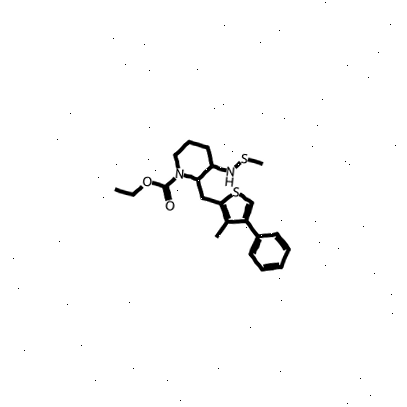 CCOC(=O)N1CCCC(NSC)C1Cc1scc(-c2ccccc2)c1C